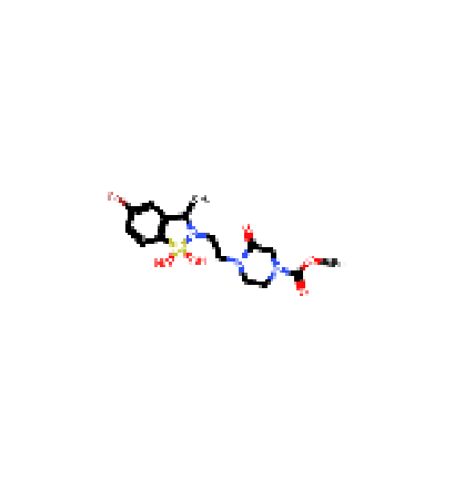 CC1c2cc(Br)ccc2S(O)(O)N1CCN1CCN(C(=O)OC(C)(C)C)CC1=O